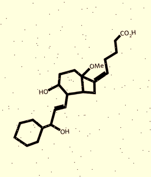 COC12CCC(O)C(/C=C/C(O)C3CCCCC3)C1C/C2=C/CCCC(=O)O